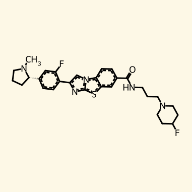 CN1CCC[C@H]1c1ccc(-c2cn3c(n2)sc2cc(C(=O)NCCCN4CCC(F)CC4)ccc23)c(F)c1